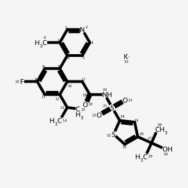 Cc1cnccc1-c1cc(F)cc(C(C)C)c1CC(=O)NS(=O)(=O)c1cc(C(C)(C)O)cs1.[K]